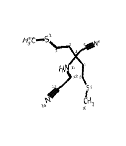 CSCCC(C#N)(CCSC)NCC#N